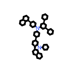 c1ccc(-c2cc(-c3ccccc3)cc(N(c3ccc(-c4ccc5c6ccc7ccccc7c6n(-c6ccccc6)c5c4)cc3)c3ccc(-c4cccc5ccccc45)cc3)c2)cc1